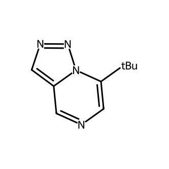 CC(C)(C)c1cncc2cnnn12